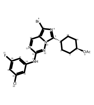 CC(=O)O[C@H]1CC[C@H](c2nc(Br)c3cnc(Nc4cc(F)cc(Cl)c4)nn32)CC1